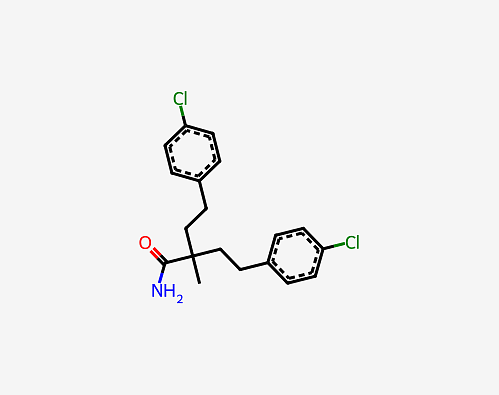 CC(CCc1ccc(Cl)cc1)(CCc1ccc(Cl)cc1)C(N)=O